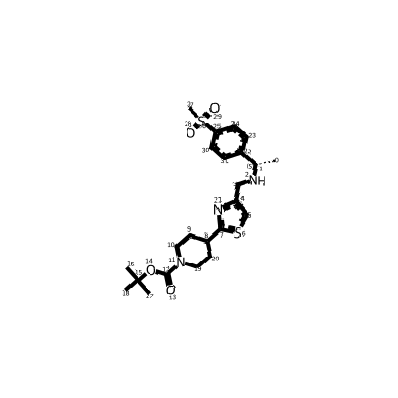 C[C@H](NCc1csc(C2CCN(C(=O)OC(C)(C)C)CC2)n1)c1ccc(S(C)(=O)=O)cc1